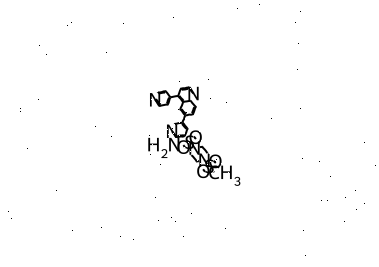 CS(=O)(=O)N1CCN(S(=O)(=O)c2cc(-c3ccc4nccc(-c5ccncc5)c4c3)cnc2N)CC1